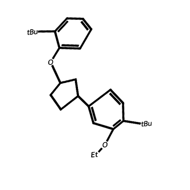 CCOc1cc(C2CCC(Oc3ccccc3C(C)(C)C)C2)ccc1C(C)(C)C